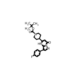 CC(C)(C)OC(=O)N1CCC(c2cc(=O)n3ncc(-c4ccc(F)cc4)c3[nH]2)CC1